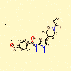 CCC(C)N1CCC(c2c[nH]c(NC(=O)c3ccc(C=O)cc3)c2)CC1